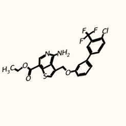 CCOC(=O)c1cnc(N)c2c(COc3cccc(-c4ccc(Cl)c(C(F)(F)F)c4)c3)csc12